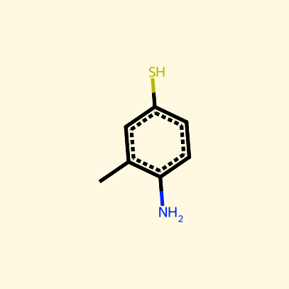 Cc1cc(S)ccc1N